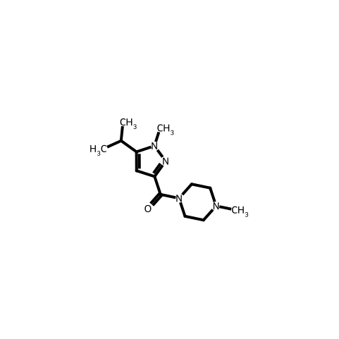 CC(C)c1cc(C(=O)N2CCN(C)CC2)nn1C